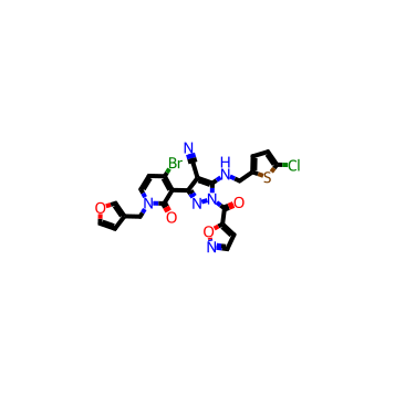 N#Cc1c(-c2c(Br)ccn(Cc3ccoc3)c2=O)nn(C(=O)c2ccno2)c1NCc1ccc(Cl)s1